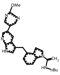 C=C(NCCCC)n1ccc2c(Cc3c[nH]c4ncc(-c5cnc(OC)nc5)cc34)cccc21